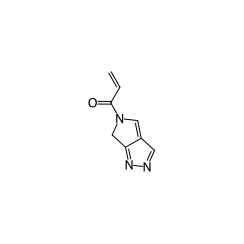 C=CC(=O)N1C=C2C=NN=C2C1